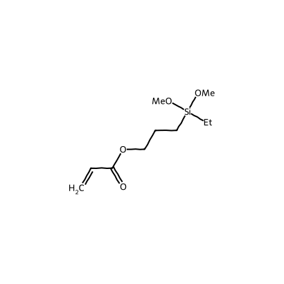 C=CC(=O)OCCC[Si](CC)(OC)OC